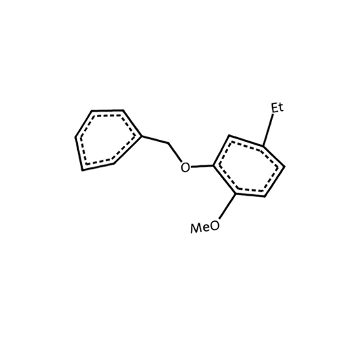 CCc1ccc(OC)c(OCc2ccccc2)c1